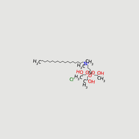 CCCCCCCCCCCCCCCCCC[N+](C)(C)CCC[Si](OCC(C)O)(OCC(C)O)OCC(C)O.[Cl-]